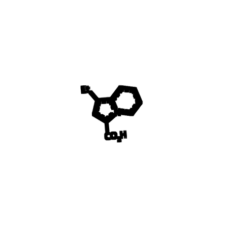 CCc1cc(C(=O)O)n2ccccc12